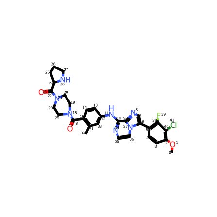 COc1ccc(-c2cnc3c(Nc4ccc(C(=O)N5CCN(C(=O)C6CCCN6)CC5)c(C)c4)nccn23)c(F)c1Cl